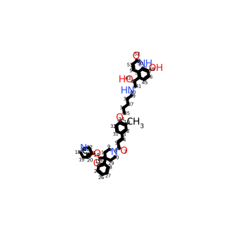 Cc1cc(C=CC(=O)N2CCC(C(=O)OC3CN4CCC3CC4)(c3ccccc3)CC2)ccc1OCCCCCNCC(O)c1ccc(O)c2[nH]c(=O)ccc12